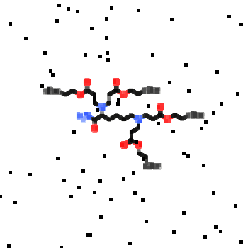 CCCCCCCCCCCCOC(=O)CCN(CCCCC(C(N)=O)N(CCC(=O)OCCCCCCCCCCCC)CCC(=O)OCCCCCCCCCCCC)CCC(=O)OCCCCCCCCCCCC